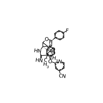 CC1(C)C(=N)N[C@@]2(c3cc(Oc4cc(C#N)ccn4)ccc3F)C3O[C@@H](c4ccc(F)cc4)C[C@]32S1(=O)=O